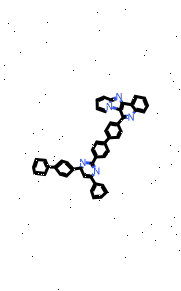 c1ccc(-c2ccc(-c3cc(-c4ccccc4)nc(-c4ccc(-c5ccc(-c6nc7ccccc7c7nc8ccccn8c67)cc5)cc4)n3)cc2)cc1